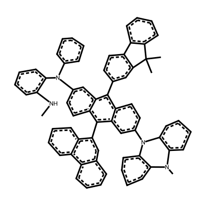 CNc1ccccc1N(c1ccccc1)c1ccc2c(-c3cc4ccccc4c4ccccc34)c3cc(N4c5ccccc5N(C)c5ccccc54)ccc3c(-c3ccc4c(c3)C(C)(C)c3ccccc3-4)c2c1